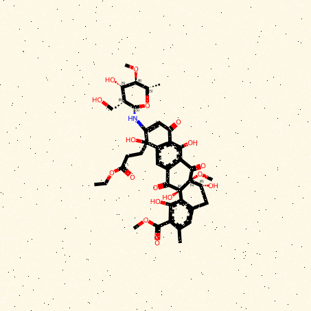 CCOC(=O)CCC1(O)C(N[C@H]2O[C@@H](C)[C@H](OC)[C@@H](O)[C@H]2CO)=CC(=O)c2c1cc1c(c2O)C(=O)[C@]2(OC)[C@H](O)Cc3cc(C)c(C(=O)OC)c(O)c3[C@]2(O)C1=O